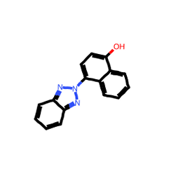 Oc1ccc(-n2nc3ccccc3n2)c2ccccc12